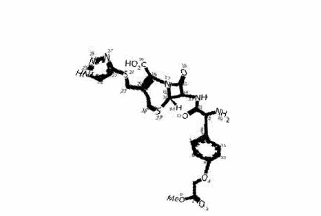 COC(=O)COc1ccc(C(N)C(=O)NC2C(=O)N3C(C(=O)O)=C(CSc4c[nH]nn4)CS[C@@H]23)cc1